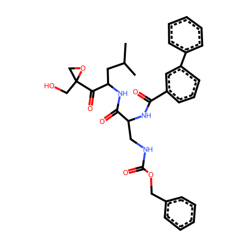 CC(C)CC(NC(=O)C(CNC(=O)OCc1ccccc1)NC(=O)c1cccc(-c2ccccc2)c1)C(=O)C1(CO)CO1